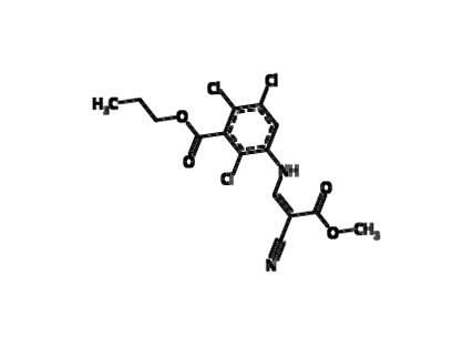 CCCOC(=O)c1c(Cl)c(Cl)cc(NC=C(C#N)C(=O)OC)c1Cl